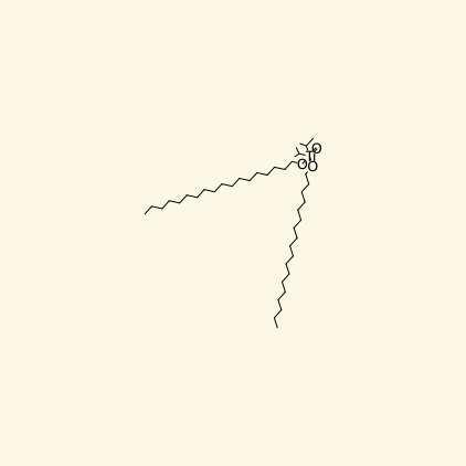 CCCCCCCCCCCCCCCCCC[O][Ti](=[O])([O]CCCCCCCCCCCCCCCCCC)([CH](C)C)[CH](C)C